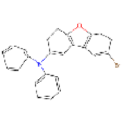 BrC1=Cc2c(oc3c2C=C(N(c2ccccc2)c2ccccc2)CC3)CC1